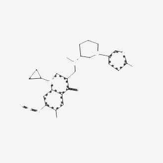 Cc1ccc(N2CCC[C@H](N(Cc3cn(C4CC4)c4cc(N=[N+]=[N-])c(F)cc4c3=O)C(C)C)C2)cn1